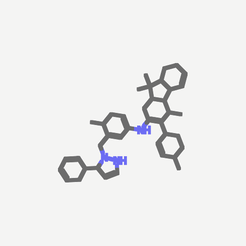 CC1C=CC(C2=C(NC3=CCC(C)C(CN4NC=CC4C4C=CC=CC4)=C3)CC3C(C2C)C2C=CCCC2C3(C)C)CC1